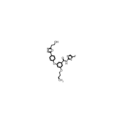 C=CCCOc1cc(Oc2ccc(-c3nnc(CCO)o3)cc2)cc(C(=O)Nc2ncc(F)s2)c1